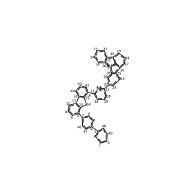 c1ccc(-c2ccc(-c3cccc4c3Cc3c(-c5cccc(-c6ccc7c8cccc9c%10ccccc%10n(c7c6)c98)n5)cccc3-4)cc2)cc1